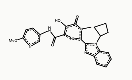 COc1ccc(NC(=O)c2nc(-c3nc4ccccc4n3C3CCC3)n(C)c(=O)c2O)cn1